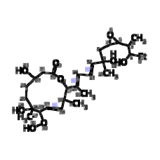 CCC(O)C(C)C1OC1CC(C)(O)/C=C/C=C(\C)C1OC(=O)CC(O)CCC(C)(O)C(OO)/C=C/C1C